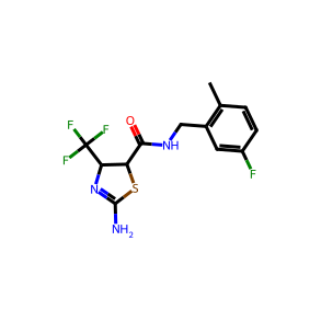 Cc1ccc(F)cc1CNC(=O)C1SC(N)=NC1C(F)(F)F